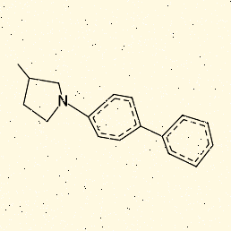 CC1CCN(c2ccc(-c3ccccc3)cc2)C1